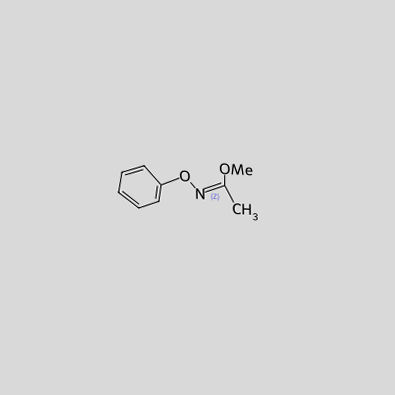 CO/C(C)=N\Oc1ccccc1